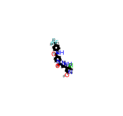 COc1cc(-c2cc(C(=O)N3CCC(C(=O)N[C@H]4CC[C@@H](C(F)(F)F)CC4)CC3)n[nH]2)c(Cl)cn1